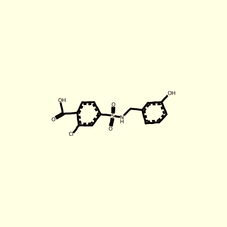 O=C(O)c1ccc(S(=O)(=O)NCc2cccc(O)c2)cc1Cl